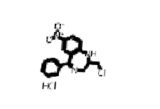 Cl.O=[N+]([O-])c1ccc2c(c1)C(c1ccccc1)=NCC(CCl)N2